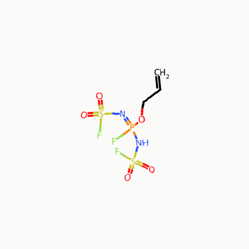 C=CCOP(F)(=NS(=O)(=O)F)NS(=O)(=O)F